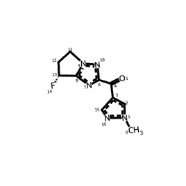 Cn1cc(C(=O)c2nc3n(n2)CC[C@H]3F)cn1